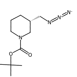 CC(C)(C)OC(=O)N1CCC[C@H](CN=[N+]=[N-])C1